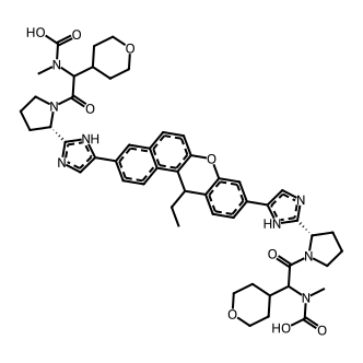 CCC1c2ccc(-c3cnc([C@@H]4CCCN4C(=O)C(C4CCOCC4)N(C)C(=O)O)[nH]3)cc2Oc2ccc3cc(-c4cnc([C@@H]5CCCN5C(=O)C(C5CCOCC5)N(C)C(=O)O)[nH]4)ccc3c21